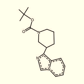 CC(C)(C)OC(=O)N1CCCC(c2ncn3ccccc23)C1